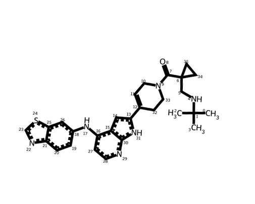 CC(C)(C)NCC1(C(=O)N2CC=C(c3cc4c(Nc5ccc6ncsc6c5)ccnc4[nH]3)CC2)CC1